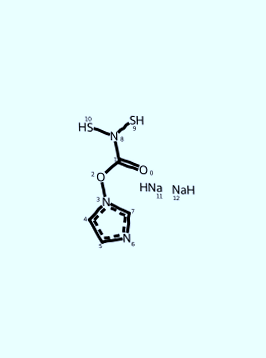 O=C(On1ccnc1)N(S)S.[NaH].[NaH]